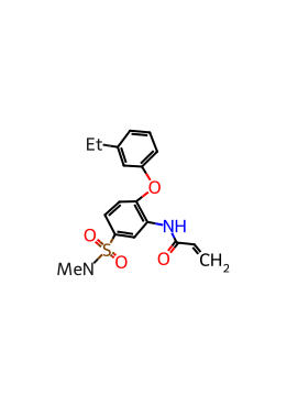 C=CC(=O)Nc1cc(S(=O)(=O)NC)ccc1Oc1cccc(CC)c1